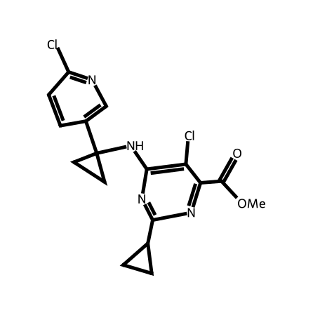 COC(=O)c1nc(C2CC2)nc(NC2(c3ccc(Cl)nc3)CC2)c1Cl